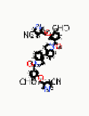 N#Cc1cncc(COc2cc(C(=O)N3CCc4c(-c5cccc6c5CCN6C(=O)c5ccc(C=O)c(OCc6cncc(C#N)c6)c5)cccc43)ccc2C=O)c1